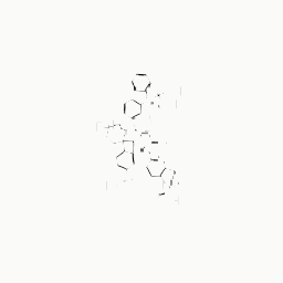 COc1ccc(C2(C(=O)N(C)[C@H](CCO[Si](c3ccccc3)(c3ccccc3)C(C)(C)C)C(=O)Nc3ccc4c(cnn4C(=O)O)n3)CCC(F)(F)CC2)cc1